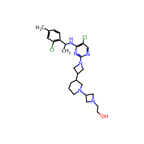 Cc1ccc(C(C)Nc2nc(N3CC(C4CCCN(C5CN(CCO)C5)C4)C3)ncc2Cl)c(Cl)c1